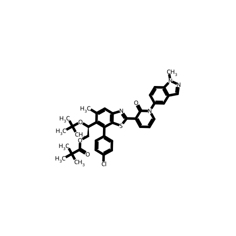 Cc1cc2nc(-c3cccn(-c4ccc5c(cnn5C)c4)c3=O)sc2c(-c2ccc(Cl)cc2)c1[C@@H](COC(=O)C(C)(C)C)OC(C)(C)C